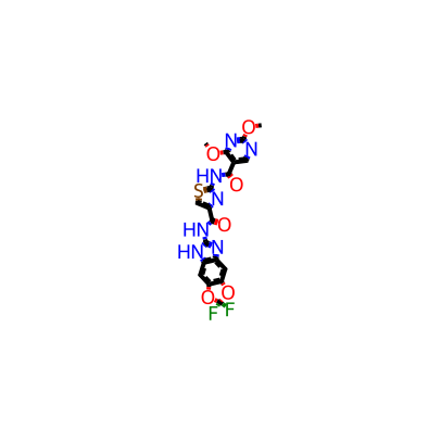 COc1ncc(C(=O)Nc2nc(C(=O)Nc3nc4cc5c(cc4[nH]3)OC(F)(F)O5)cs2)c(OC)n1